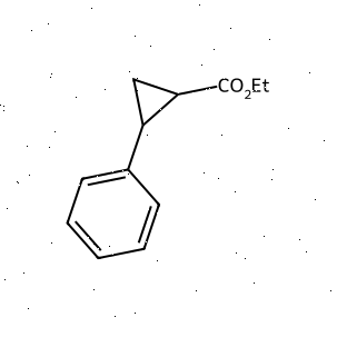 CCOC(=O)C1CC1c1ccccc1